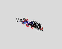 COC(=O)C(=O)NNC(=O)[C@@]1(C)CC[C@]2(C)CCC3(C)C(C(=O)C=C4[C@@]5(C)C=C(C#N)C(=O)C(C)(C)C5CC[C@]43C)[C@@H]2C1